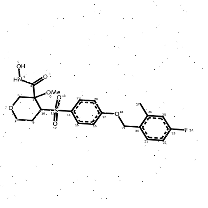 COC1(C(=O)NO)COCCC1S(=O)(=O)c1ccc(OCc2ccc(F)cc2C)cc1